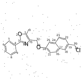 Cc1oc(-c2ccccc2)nc1COc1ccc2cc(CCl)ccc2c1